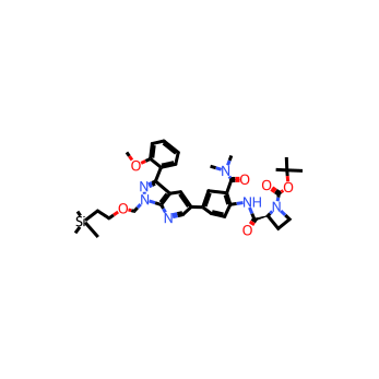 COc1ccccc1-c1nn(COCC[Si](C)(C)C)c2ncc(-c3ccc(NC(=O)[C@@H]4CCN4C(=O)OC(C)(C)C)c(C(=O)N(C)C)c3)cc12